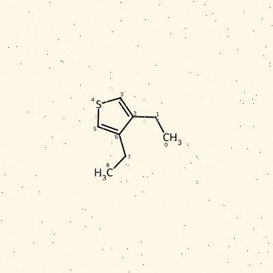 CCc1[c]scc1CC